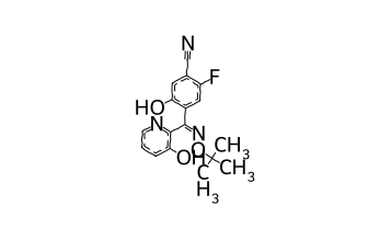 CC(C)(C)ON=C(c1cc(F)c(C#N)cc1O)c1ncccc1O